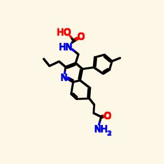 CCCc1nc2ccc(CCC(N)=O)cc2c(-c2ccc(C)cc2)c1CNC(=O)O